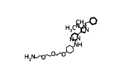 CN(C)c1c(-c2ccnc(N[C@H]3CC[C@H](OCCOCCOCCN)CC3)n2)cnn1Cc1ccccc1